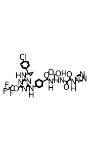 O=C(NC[C@H](NC(=O)c1ccc(Nc2nc(NC3(c4ccc(Cl)cc4)CC3)nc(OCC(F)(F)F)n2)cc1)C(=O)O)C(=O)Nn1cnnc1